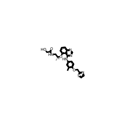 Cc1cc(Nc2ncnc3cccc(O[C@H](C)CNC(=O)CO)c23)ccc1OCc1nccs1